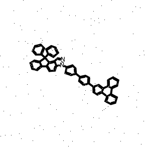 c1ccc(C2(c3ccccc3)c3ccccc3-c3ccc4c(cnn4-c4ccc(-c5ccc(-c6ccc7c8ccccc8c8ccccc8c7c6)cc5)cc4)c32)cc1